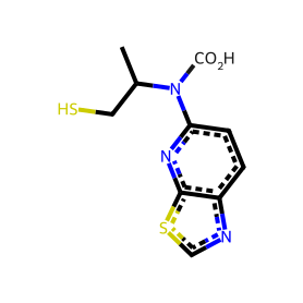 CC(CS)N(C(=O)O)c1ccc2ncsc2n1